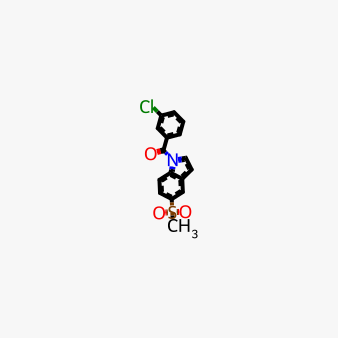 CS(=O)(=O)c1ccc2c(ccn2C(=O)c2cccc(Cl)c2)c1